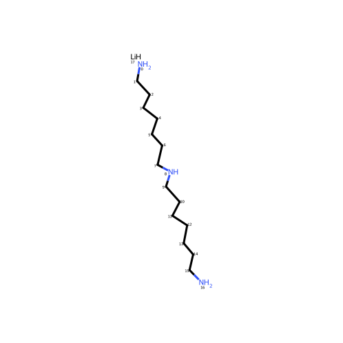 NCCCCCCCNCCCCCCCN.[LiH]